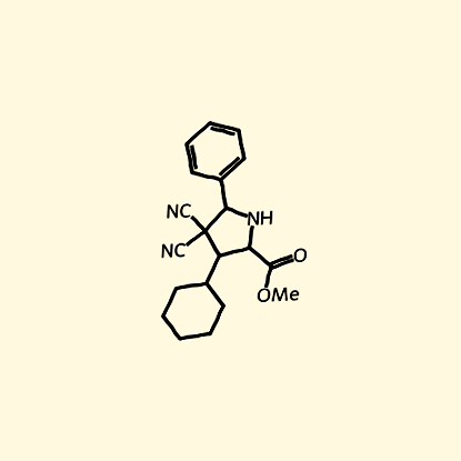 COC(=O)C1NC(c2ccccc2)C(C#N)(C#N)C1C1CCCCC1